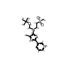 Cc1nc(-c2cccnc2)sc1N(CCS(C)(=O)=O)COC(C)(C)C